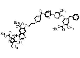 Cc1nn(C(=O)OC(C)(C)C)c(Nc2ncnc3cc(OCCCN4CCN(C(=O)c5cnc(N6CCN(C[C@H]7CN(C(=O)OC(C)(C)C)[C@@H](C)CN7Cc7ccccc7)[C@H](C)C6)nc5)CC4)c(S(=O)(=O)C(C)(C)C)cc23)c1C